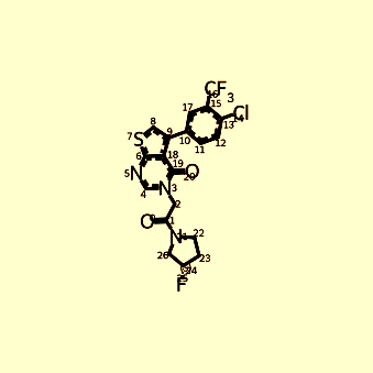 O=C(Cn1cnc2scc(-c3ccc(Cl)c(C(F)(F)F)c3)c2c1=O)N1CC[C@H](F)C1